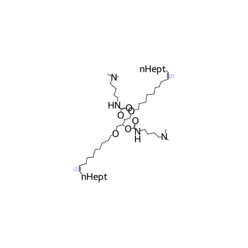 CCCCCCC/C=C\CCCCCCCCOCC(OC(=O)NCCCCN(C)C)C(COCCCCCCCC/C=C\CCCCCCC)OC(=O)NCCCCN(C)C